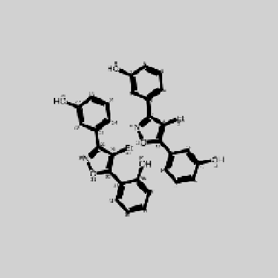 CCc1c(-c2cccc(O)c2)noc1-c1cccc(O)c1.CCc1c(-c2cccc(O)c2)noc1-c1ccccc1O